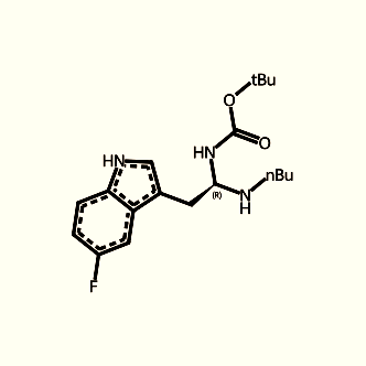 CCCCN[C@@H](Cc1c[nH]c2ccc(F)cc12)NC(=O)OC(C)(C)C